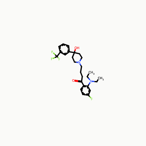 CCN(CC)c1cc(F)ccc1C(=O)CCCN1CCC(O)(c2cccc(C(F)(F)F)c2)CC1